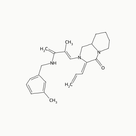 C=C/C=C1/C(=O)N2CCCCC2CN1/C=C(\C)C(=C)NCc1cccc(C)c1